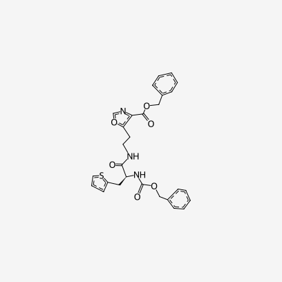 O=C(N[C@@H](Cc1cccs1)C(=O)NCCc1ocnc1C(=O)OCc1ccccc1)OCc1ccccc1